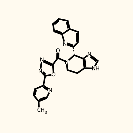 Cc1ccc(-c2nnc(C(=O)N3CCc4[nH]cnc4[C@H]3c3ccc4ccccc4n3)o2)nc1